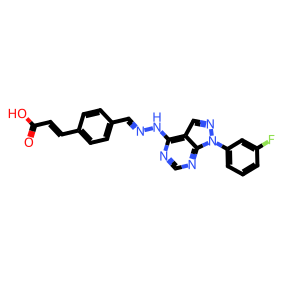 O=C(O)/C=C/c1ccc(/C=N/Nc2ncnc3c2cnn3-c2cccc(F)c2)cc1